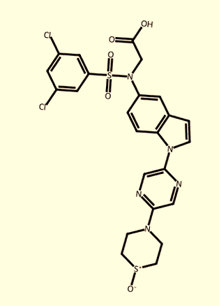 O=C(O)CN(c1ccc2c(ccn2-c2cnc(N3CC[S+]([O-])CC3)cn2)c1)S(=O)(=O)c1cc(Cl)cc(Cl)c1